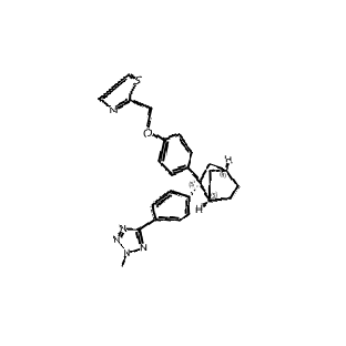 Cn1nnc(-c2ccc([C@]3(c4ccc(OCc5nccs5)cc4)C[C@@H]4CC[C@H]3C4)cc2)n1